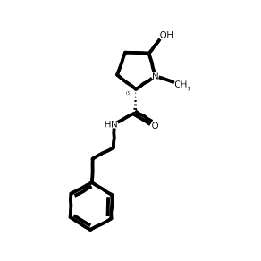 CN1C(O)CC[C@H]1C(=O)NCCc1ccccc1